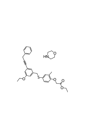 C1COCCN1.CCOC(=O)COc1ccc(SCc2cc(C#CCc3ccccc3)cc(OCC)c2)cc1C